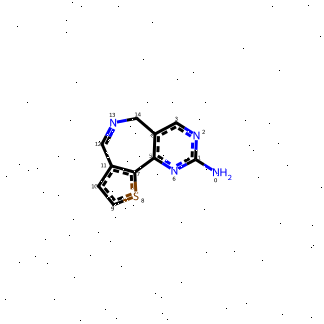 Nc1ncc2c(n1)-c1sccc1C=NC2